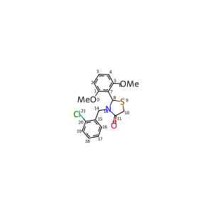 COc1cccc(OC)c1C1SCC(=O)N1Cc1ccccc1Cl